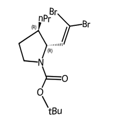 CCC[C@@H]1CCN(C(=O)OC(C)(C)C)[C@H]1C=C(Br)Br